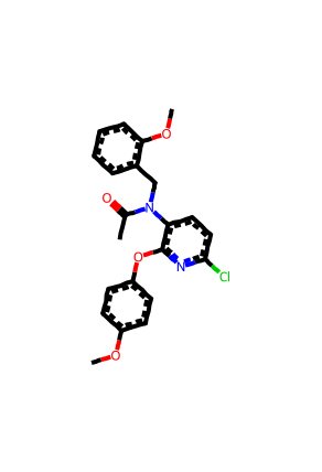 COc1ccc(Oc2nc(Cl)ccc2N(Cc2ccccc2OC)C(C)=O)cc1